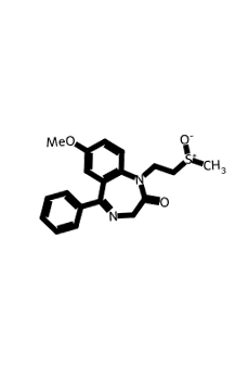 COc1ccc2c(c1)C(c1ccccc1)=NCC(=O)N2CC[S+](C)[O-]